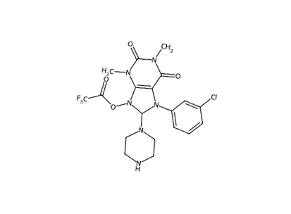 Cn1c2c(c(=O)n(C)c1=O)N(c1cccc(Cl)c1)C(N1CCNCC1)N2OC(=O)C(F)(F)F